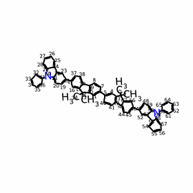 CC1(C)c2cc(-c3ccc4c(c3)C(C)(C)c3cc(-c5ccc6c(c5)c5ccccc5n6-c5ccccc5)ccc3-4)ccc2-c2ccc(-c3ccc4c(c3)c3ccccc3n4-c3ccccc3)cc21